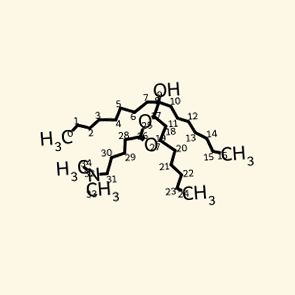 CCCCCCCCC(O)(CCCCCCC)C(CCCCCCC)OC(=O)CCCCN(C)C